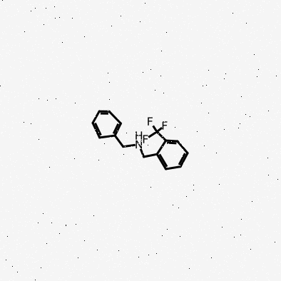 FC(F)(F)c1ccccc1CNCc1ccccc1